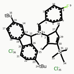 CC1=[C](/[Zr+2](=[CH]\c2ccc(F)cc2)[CH]2c3cc(C(C)(C)C)ccc3-c3ccc(C(C)(C)C)cc32)C(C)C=C1[Si](C)(C)C.[Cl-].[Cl-]